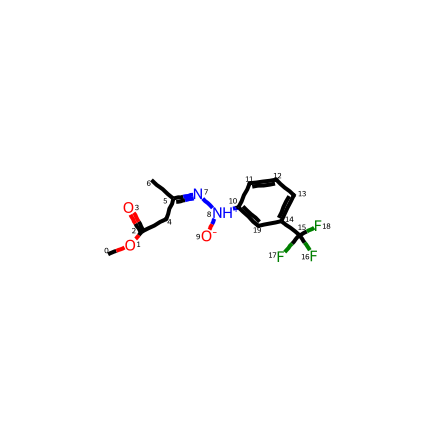 COC(=O)CC(C)=N[NH+]([O-])c1cccc(C(F)(F)F)c1